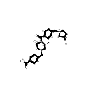 C[C@@H]1CN(Cc2ccc(C(=O)O)cc2)C[C@H](C)N1C(=O)c1ccc(CN2CCC(F)C2)cc1